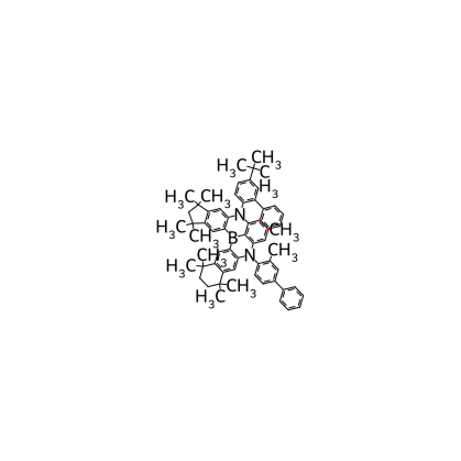 Cc1cc2c3c(c1)N(c1ccc(C(C)(C)C)cc1-c1ccccc1)c1cc4c(cc1B3c1cc3c(cc1N2c1ccc(-c2ccccc2)cc1C)C(C)(C)CCC3(C)C)C(C)(C)CC4(C)C